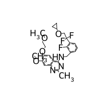 COCCOc1cc2c(NCc3cccc(C(F)(F)COC4CC4)c3F)nc(C)nc2cc1OC